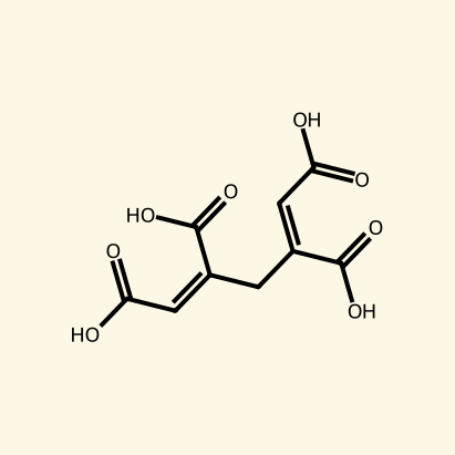 O=C(O)/C=C(/C/C(=C/C(=O)O)C(=O)O)C(=O)O